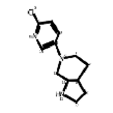 Clc1ccc(N2CCC3CCNC3C2)cn1